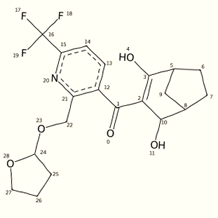 O=C(C1=C(O)C2CCC(C2)C1O)c1ccc(C(F)(F)F)nc1COC1CCCO1